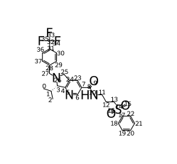 CC(C)[C@H]1c2ncc(C(=O)NCCCS(=O)(=O)c3ccccc3)cc2CN1Cc1ccc(C(F)(F)F)cc1